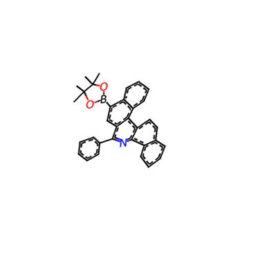 CC1(C)OB(c2cc3c(-c4ccccc4)nc4c5ccccc5ccc4c3c3ccccc23)OC1(C)C